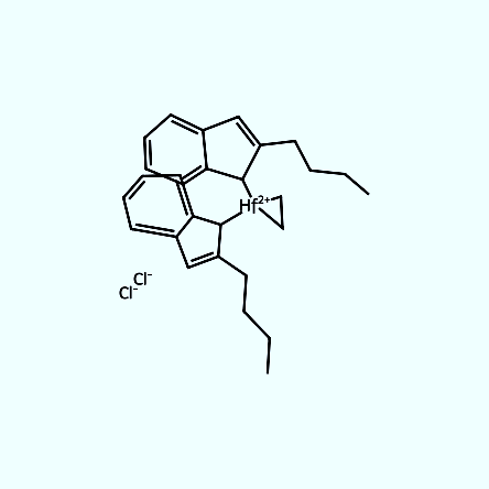 CCCCC1=Cc2ccccc2[CH]1[Hf+2]1([CH]2C(CCCC)=Cc3ccccc32)[CH2][CH2]1.[Cl-].[Cl-]